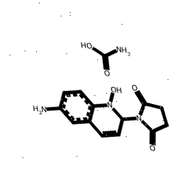 NC(=O)O.Nc1ccc2c(c1)C=CC(N1C(=O)CCC1=O)N2O